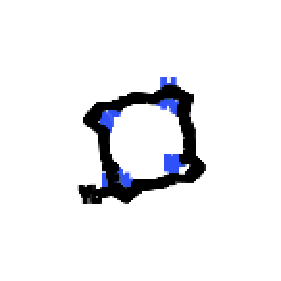 [Yb][c]1cc2cc3nc(cc4ccc(cc5nc(cc1[nH]2)C=C5)[nH]4)C=C3